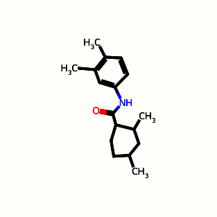 Cc1ccc(NC(=O)C2CCC(C)CC2C)cc1C